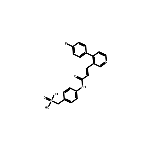 O=C(/C=C/c1cnccc1-c1ccc(F)cc1)Nc1ccc(CP(=O)(O)O)cc1